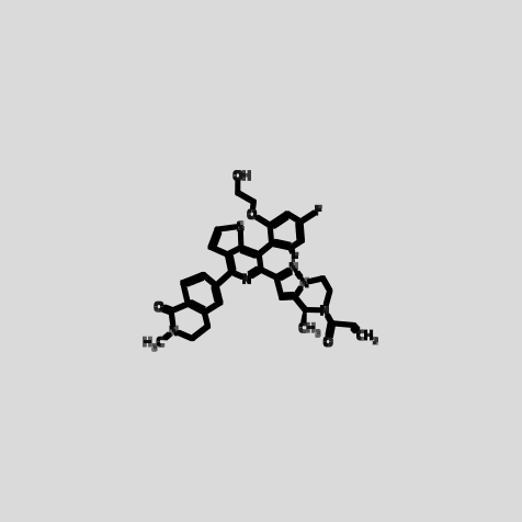 C=CC(=O)N1CCn2nc(-c3nc(-c4ccc5c(c4)CCN(C)C5=O)c4ccsc4c3-c3c(F)cc(F)cc3OCCO)cc2[C@@H]1C